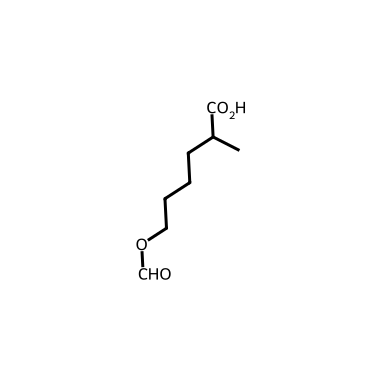 CC(CCCCOC=O)C(=O)O